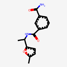 Cc1ccc(C(C)NC(=O)c2cccc(C(N)=O)c2)o1